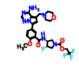 COc1ccc(-c2cc(CN3CCOCC3)c3c(N)ncnn23)cc1C(=O)N[C@@H]1CN(C(=O)OCC(F)(F)F)C[C@@H]1F